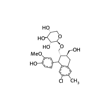 COc1cc(C2c3cc(Cl)c(C)cc3C[C@H](CO)[C@H]2CO[C@@H]2OC[C@@H](O)[C@H](O)[C@H]2O)ccc1O